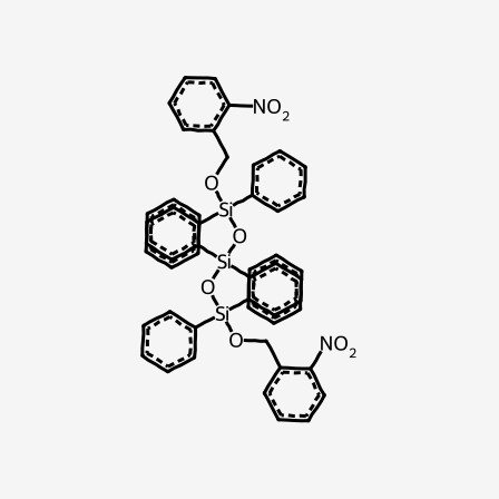 O=[N+]([O-])c1ccccc1CO[Si](O[Si](O[Si](OCc1ccccc1[N+](=O)[O-])(c1ccccc1)c1ccccc1)(c1ccccc1)c1ccccc1)(c1ccccc1)c1ccccc1